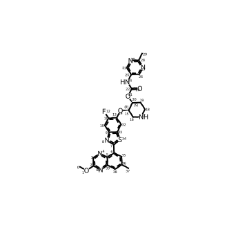 COc1cnc2c(-c3nc4cc(F)c(O[C@@H]5CNCC[C@@H]5OC(=O)Nc5cnc(C)nc5)cc4s3)cc(C)cc2n1